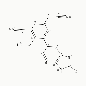 Cc1nc2cc(-c3cc(CC#N)cc(C#N)c3CO)ccc2[nH]1